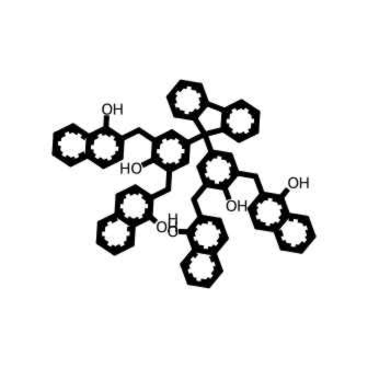 Oc1c(Cc2ccc3ccccc3c2O)cc(C2(c3cc(Cc4ccc5ccccc5c4O)c(O)c(Cc4ccc5ccccc5c4O)c3)c3ccccc3-c3ccccc32)cc1Cc1ccc2ccccc2c1O